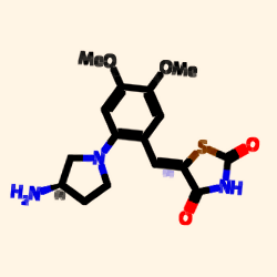 COc1cc(/C=C2\SC(=O)NC2=O)c(N2CC[C@@H](N)C2)cc1OC